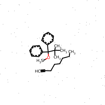 C#CCCCCCC.CC(C)(C)C(O[SiH3])(c1ccccc1)c1ccccc1